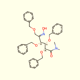 CN(C)C(=O)[C@H](OCc1ccccc1)[C@@H](OCc1ccccc1)[C@H](OCc1ccccc1)C(COCc1ccccc1)=NO